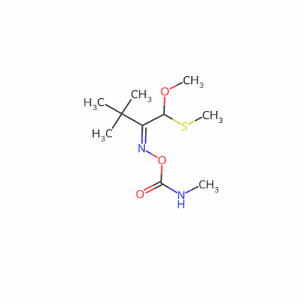 CNC(=O)ON=C(C(OC)SC)C(C)(C)C